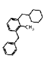 Cc1c(Cc2ccccc2)cccc1CC1CCCCC1